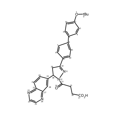 CC(C)(C)Oc1ccc(-c2ccc(C3=NN(C(=O)CCC(=O)O)C(c4ccc5nccnc5c4)C3)cc2)cc1